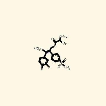 CCCCCCC(CCC)C(=O)OC/C(=C(\C(=O)O)c1ccc(F)c(F)c1)c1ccc(S(C)(=O)=O)cc1